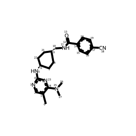 Cc1cnc(N[C@H]2CC[C@@H](CNC(=O)c3ccc(C#N)cc3)CC2)nc1N(C)C